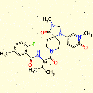 Cc1ccc(F)c(C(=O)N[C@@H](C(=O)N2CCC3(CC2)C(=O)N(C)CN3c2ccc(=O)n(C)c2)C(C)C)c1